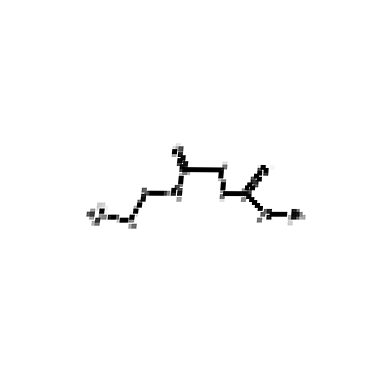 CC(C)(C)OC(=O)CCC(=O)OCCN